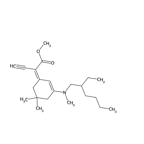 C#C/C(C(=O)OC)=C1/C=C(N(C)CC(CC)CCCC)CC(C)(C)C1